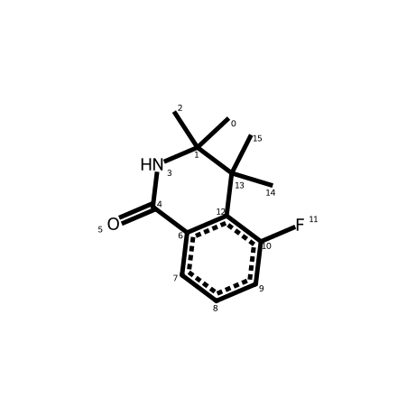 CC1(C)NC(=O)c2cccc(F)c2C1(C)C